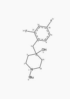 CC(C)(C)N1CCC(O)(Cc2ccc(F)cc2F)CC1